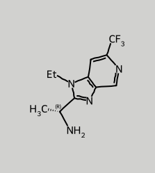 CCn1c([C@@H](C)N)nc2cnc(C(F)(F)F)cc21